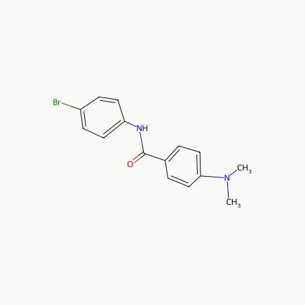 CN(C)c1ccc(C(=O)Nc2ccc(Br)cc2)cc1